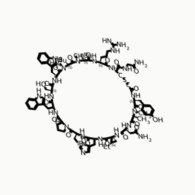 CCCC[C@H]1C(=O)N(C)[C@@H](CCCC)C(=O)N[C@@H](CCCNC(=N)N)C(=O)NC(C(=O)NCC(N)=O)CSCC(=O)N[C@@H](Cc2ccc(O)cc2)C(=O)N(C)[C@@H](C)C(=O)N[C@@H](CC(N)=O)C(=O)N[C@]2(C[C@@H]2CC)C(=O)NC(Cc2cnc[nH]2)C(=O)N[C@@H](CC(C)C)C(=O)N2CCC[C@H]2C(=O)NC(Cc2c[nH]c3ccccc23)C(=O)N[C@@H](CO)C(=O)N[C@@H](Cc2c[nH]c3ccccc23)C(=O)N1C